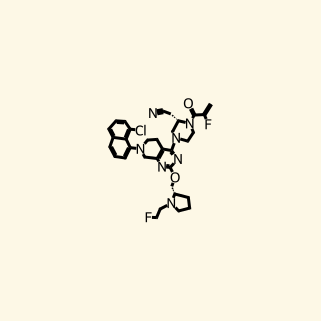 C=C(F)C(=O)N1CCN(c2nc(OC[C@@H]3CCCN3CCF)nc3c2CCN(c2cccc4cccc(Cl)c24)C3)C[C@@H]1CC#N